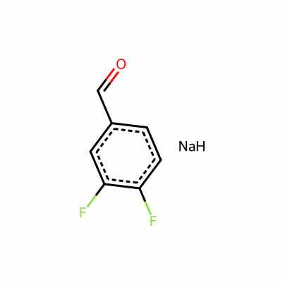 O=Cc1ccc(F)c(F)c1.[NaH]